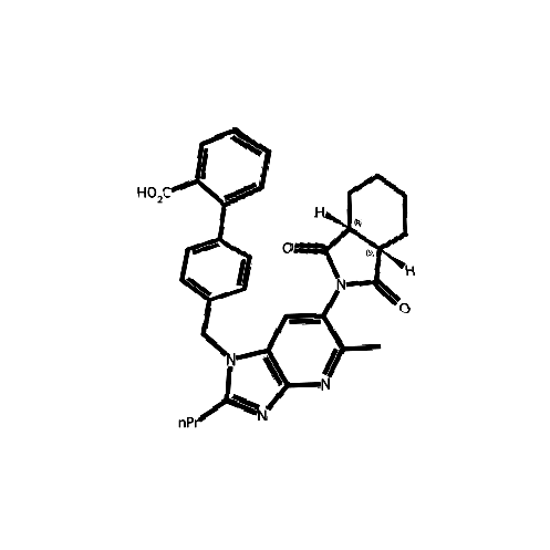 CCCc1nc2nc(C)c(N3C(=O)[C@H]4CCCC[C@H]4C3=O)cc2n1Cc1ccc(-c2ccccc2C(=O)O)cc1